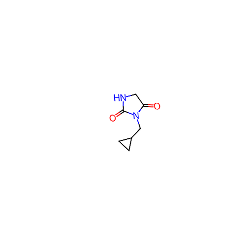 O=C1CNC(=O)N1CC1CC1